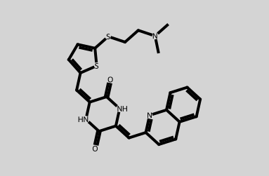 CN(C)CCSc1ccc(C=c2[nH]c(=O)c(=Cc3ccc4ccccc4n3)[nH]c2=O)s1